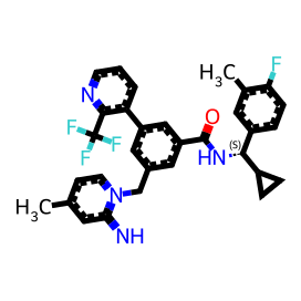 Cc1ccn(Cc2cc(C(=O)N[C@H](c3ccc(F)c(C)c3)C3CC3)cc(-c3cccnc3C(F)(F)F)c2)c(=N)c1